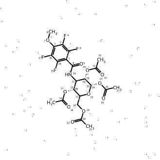 COc1c(F)c(F)c(C(=O)NC2[C@@H](OC(C)=O)C(COC(C)=O)O[C@@H](OC(C)=O)[C@H]2OC(C)=O)c(F)c1F